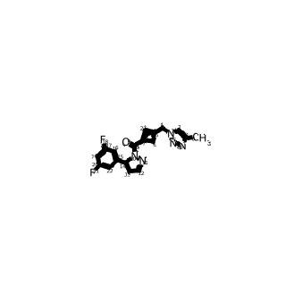 Cc1cn(CC23CC(C(=O)N4N=CCC4c4cc(F)cc(F)c4)(C2)C3)nn1